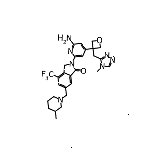 CC1CCCN(Cc2cc3c(c(C(F)(F)F)c2)CN(c2cc(C4(Cc5nncn5C)COC4)cc(N)n2)C3=O)C1